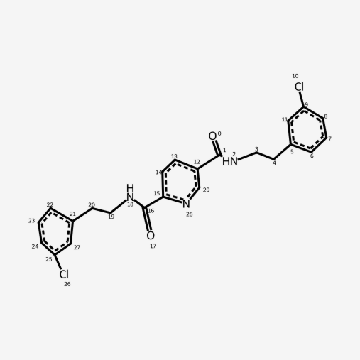 O=C(NCCc1cccc(Cl)c1)c1ccc(C(=O)NCCc2cccc(Cl)c2)nc1